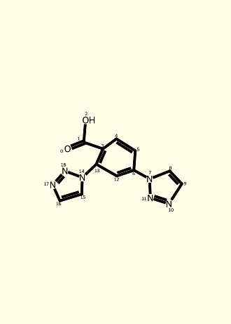 O=C(O)c1ccc(-n2ccnn2)cc1-n1ccnn1